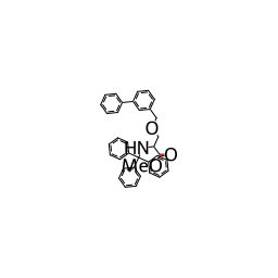 COC(=O)C(COCc1cccc(-c2ccccc2)c1)NC(c1ccccc1)(c1ccccc1)c1ccccc1